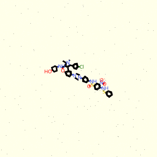 Cc1c(C(=O)NC2CCC(O)CC2)c(-c2cccc(N3CCN(c4ccc(N[S+]([O-])c5ccc(NSc6ccccc6)c([N+](=O)[O-])c5)cc4)CC3)c2)c(-c2ccc(Cl)cc2)n1C